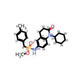 COP(=O)(Cc1ccc(C)cc1)Nc1ccc2c(c1)CCC(=O)N2C1CCCCC1